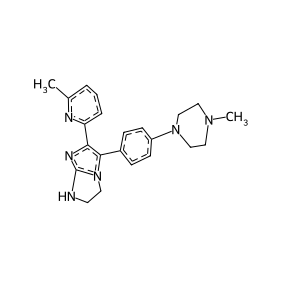 Cc1cccc(-c2nc3n(c2-c2ccc(N4CCN(C)CC4)cc2)CCN3)n1